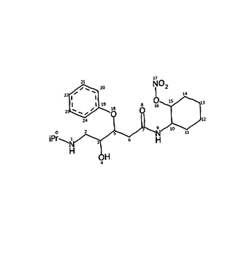 CC(C)NCC(O)C(CC(=O)NC1CCCCC1O[N+](=O)[O-])Oc1ccccc1